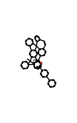 CC1(C)c2ccccc2-c2cc3c(cc21)-c1ccccc1C31c2ccccc2C=Cc2ccc(-c3nc(-c4ccccc4)nc(-c4ccc(-c5ccccc5)cc4)n3)cc21